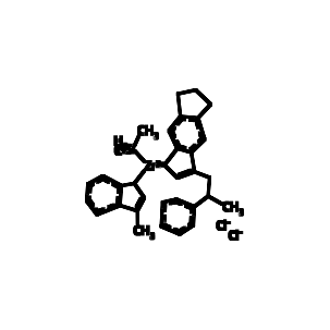 CC1=C[CH]([Zr+2]([CH]2C=C(CC(C)c3ccccc3)c3cc4c(cc32)CCC4)[SiH](C)C)c2ccccc21.[Cl-].[Cl-]